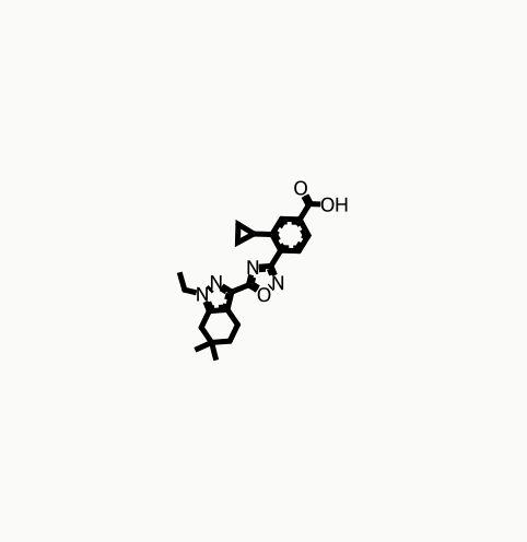 CCn1nc(-c2nc(-c3ccc(C(=O)O)cc3C3CC3)no2)c2c1CC(C)(C)CC2